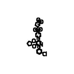 O=c1c(OC2CCCC2)c(N2CCN(S(=O)(=O)C3CCS(=O)(=O)C3)CC2)cnn1-c1cccc(Cl)c1